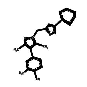 Cc1cc(-c2c(C)nn(Cc3cc(-c4ccccc4)no3)c2C)ccc1C#N